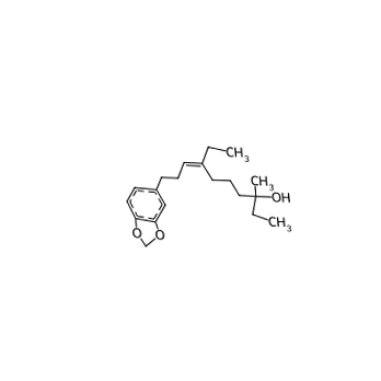 CCC(=CCCc1ccc2c(c1)OCO2)CCCC(C)(O)CC